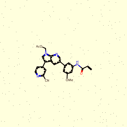 C=CC(=O)Nc1cc(OC)cc(-c2cnc3c(c2)c(-c2ccnc(C#N)c2)cn3COC(C)=O)c1